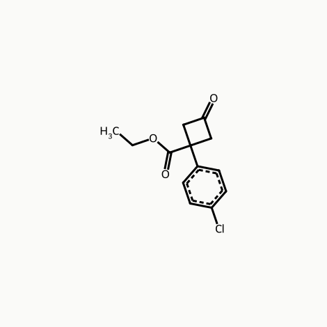 CCOC(=O)C1(c2ccc(Cl)cc2)CC(=O)C1